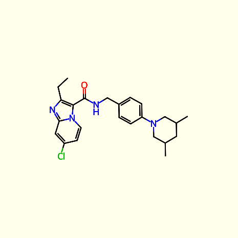 CCc1nc2cc(Cl)ccn2c1C(=O)NCc1ccc(N2CC(C)CC(C)C2)cc1